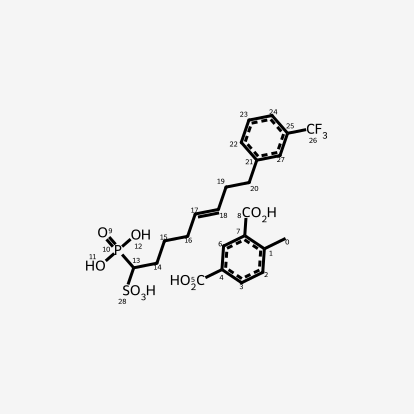 Cc1ccc(C(=O)O)cc1C(=O)O.O=P(O)(O)C(CCCC=CCCc1cccc(C(F)(F)F)c1)S(=O)(=O)O